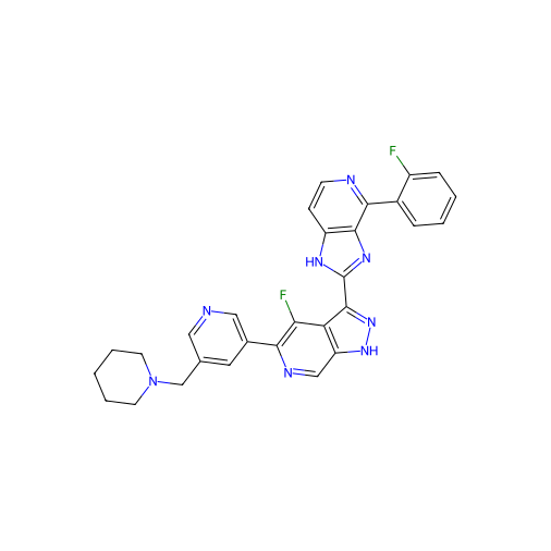 Fc1ccccc1-c1nccc2[nH]c(-c3n[nH]c4cnc(-c5cncc(CN6CCCCC6)c5)c(F)c34)nc12